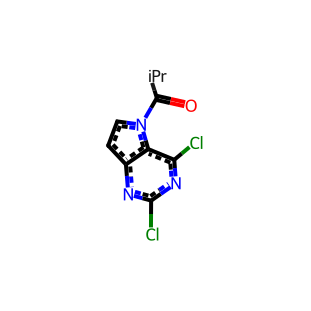 CC(C)C(=O)n1ccc2nc(Cl)nc(Cl)c21